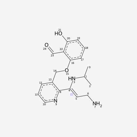 CC(C)N/C(=C\CN)c1ncccc1COc1cccc(O)c1C=O